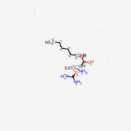 CCCC(O)O.CCOC(N)=O.NC(N)=O.O=C(O)CCCCC(=O)O